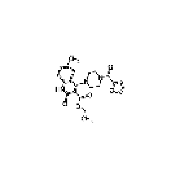 CCOC(=O)c1c(N2CCN(C(=O)c3ccco3)CC2)c2cc(C)ccc2[nH]c1=O